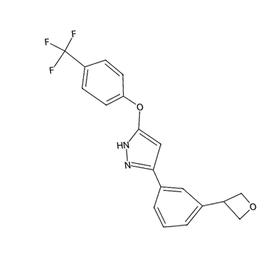 FC(F)(F)c1ccc(Oc2cc(-c3cccc(C4COC4)c3)n[nH]2)cc1